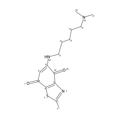 Cc1nc2c(s1)C(=O)C=C(NCCCCCN(C)C)C2=O